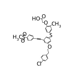 Cc1cc(Sc2cc(C#Cc3ccc(S(C)(=O)=O)cc3)cc(OCCc3ccc(Cl)cc3)c2)ccc1OCC(=O)O